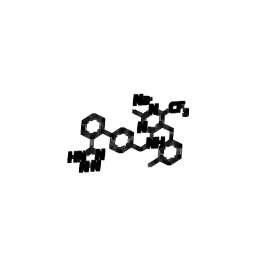 Cc1cccc(Cc2c(NCc3ccc(-c4ccccc4-c4nnn[nH]4)cc3)nc(C)nc2C(F)(F)F)c1.[Na]